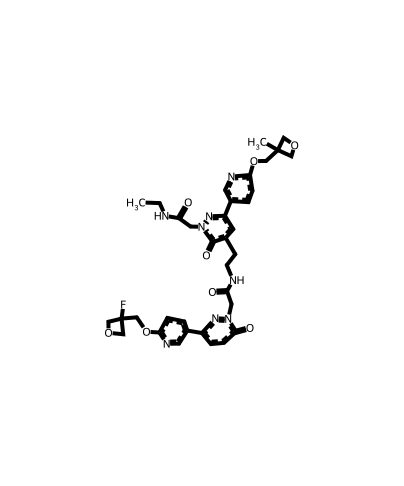 CCNC(=O)Cn1nc(-c2ccc(OCC3(C)COC3)nc2)cc(CCNC(=O)Cn2nc(-c3ccc(OCC4(F)COC4)nc3)ccc2=O)c1=O